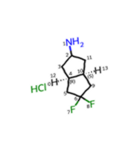 Cl.NC1C[C@@H]2CC(F)(F)C[C@@H]2C1